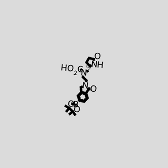 CC1(C)OB(c2ccc3c(c2)CN(CCN(C[C@@H]2CCC(=O)N2)C(=O)O)C3=O)OC1(C)C